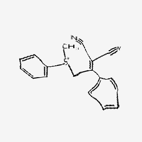 C[S+](CC(=C(C#N)C#N)c1ccccc1)c1ccccc1